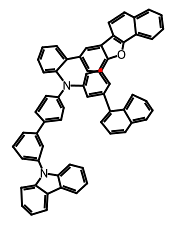 c1cc(-c2cccc3ccccc23)cc(N(c2ccc(-c3cccc(-n4c5ccccc5c5ccccc54)c3)cc2)c2ccccc2-c2ccc3oc4c5ccccc5ccc4c3c2)c1